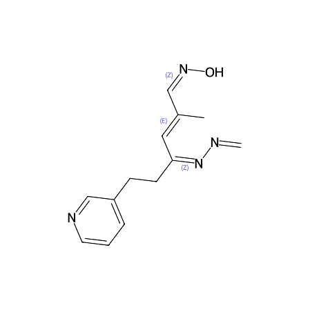 C=N\N=C(/C=C(C)/C=N\O)CCc1cccnc1